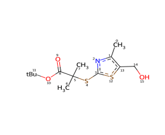 Cc1nc(SC(C)(C)C(=O)OC(C)(C)C)sc1CO